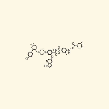 Cc1cc(S(=O)(=O)NC(=O)c2ccc(N3CCN(CC4=C(c5ccc(Cl)cc5)CC(C)(C)CC4)CC3)cc2Oc2cnc3[nH]ccc3c2)ccc1NCOC(=O)C1CCOC(C)C1